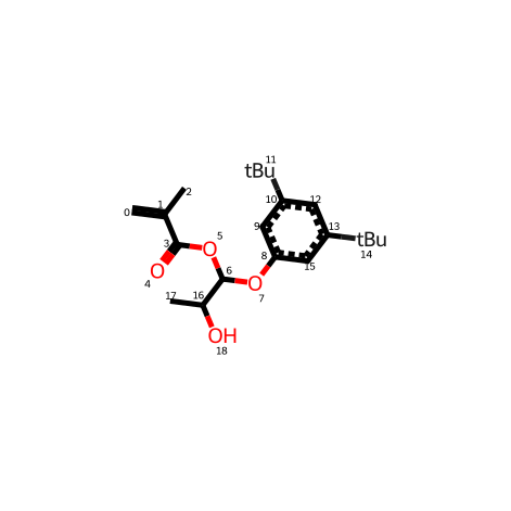 C=C(C)C(=O)OC(Oc1cc(C(C)(C)C)cc(C(C)(C)C)c1)C(C)O